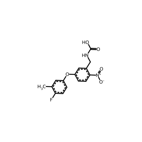 Cc1cc(Oc2ccc([N+](=O)[O-])c(CNC(=O)O)c2)ccc1F